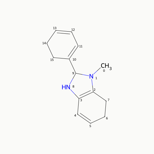 CN1C2=C(C=CCC2)NC1C1=CC=CCC1